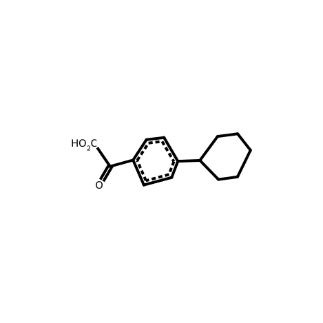 O=C(O)C(=O)c1ccc(C2CCCCC2)cc1